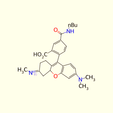 CCCCNC(=O)c1ccc(C2=C3CC/C(=N\C)CC3Oc3cc(N(C)C)ccc32)c(C(=O)O)c1